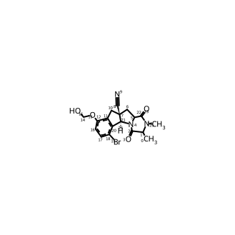 CC1C(=O)N2C(C[C@@]3(C#N)Cc4c(OCO)ccc(Br)c4[C@H]23)C(=O)N1C